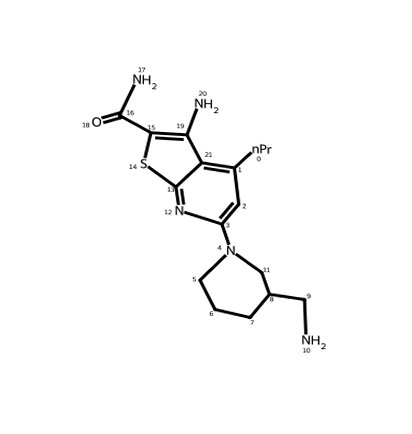 CCCc1cc(N2CCCC(CN)C2)nc2sc(C(N)=O)c(N)c12